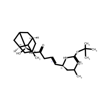 CC(C)C[C@@H](/C=C/CC(=O)NC1[C@@H]2CC3C[C@H]1C[C@](C)(C2)N3O)NC(=O)OC(C)(C)C